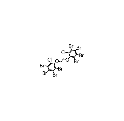 Clc1c(Br)c(Br)c(Br)c(Br)c1OCCOc1c(Cl)c(Br)c(Br)c(Br)c1Br